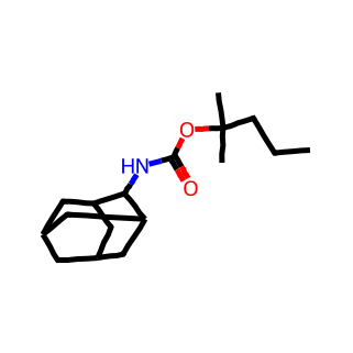 CCCC(C)(C)OC(=O)NC1C2CC3CC(C2)CC1C3